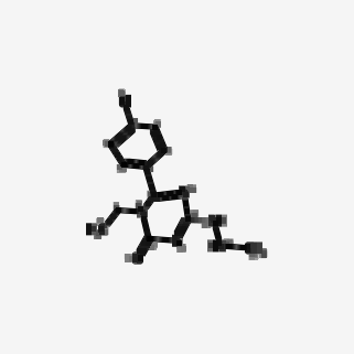 CCn1c(-c2ccc(Cl)cc2)nc(NNC)nc1=O